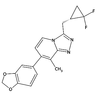 Cc1c(-c2ccc3c(c2)OCO3)ccn2c(C[C@@H]3CC3(F)F)nnc12